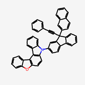 C(#CC1(c2ccc3ccccc3c2)c2ccccc2-c2ccc(-n3c4ccccc4c4c5c(ccc43)oc3ccccc35)cc21)c1ccccc1